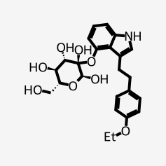 CCOc1ccc(CCc2c[nH]c3cccc(O[C@]4(O)[C@@H](O)O[C@H](CO)[C@@H](O)[C@@H]4O)c23)cc1